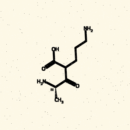 C[C@H](N)C(=O)C(CCCN)C(=O)O